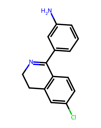 Nc1cccc(C2=NCCc3cc(Cl)ccc32)c1